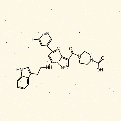 O=C(O)N1CCN(C(=O)c2cnn3c(NCCc4c[nH]c5ccccc45)cc(-c4cncc(F)c4)nc23)CC1